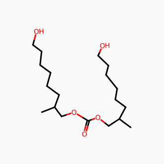 CC(CCCCCCO)COC(=O)OCC(C)CCCCCCO